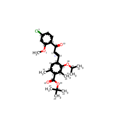 COc1cc(Cl)ccc1C(=O)/C=C/c1cc(C)c(C(=O)OC(C)(C)C)c(C)c1OC(C)C